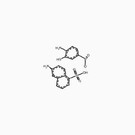 Nc1ccc([N+](=O)[O-])cc1O.Nc1ccc2c(S(=O)(=O)O)cccc2c1